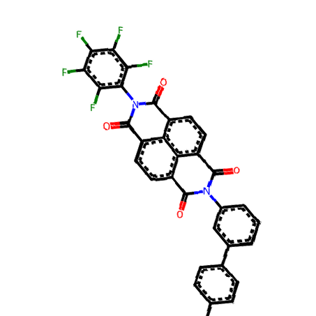 Cc1ccc(-c2cccc(N3C(=O)c4ccc5c6c(ccc(c46)C3=O)C(=O)N(c3c(F)c(F)c(F)c(F)c3F)C5=O)c2)cc1